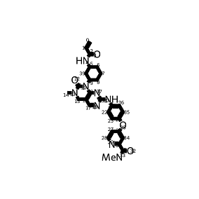 C=CC(=O)NC1CCCC(N2C(=O)N(C)Cc3cnc(Nc4ccc(Oc5ccnc(C(=O)NC)c5)cc4)nc32)C1